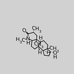 C[C@@H]1C[C@]2(C)[C@H]3CC[C@]4(C)[C@H](O)CC[C@H]4[C@@H]3CC[C@H]2N(C)C1=O